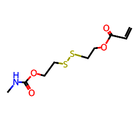 C=CC(=O)OCCSSCCOC(=O)NC